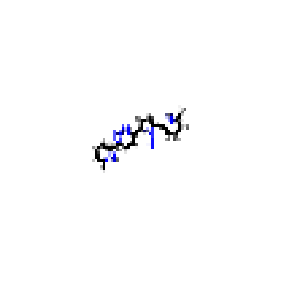 Cc1cccc(-c2ccc(-c3ccc(-c4cccc(C)n4)[nH]3)nn2)n1